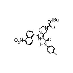 Cc1ccc(NC(=O)c2nc(-c3cccc4c([N+](=O)[O-])cccc34)n3c2CN(C(=O)OC(C)(C)C)CC3)cc1